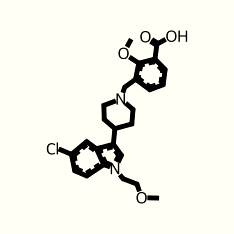 COCCn1cc(C2CCN(Cc3cccc(C(=O)O)c3OC)CC2)c2cc(Cl)ccc21